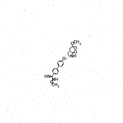 CONC(=N)c1ccc(-c2ccc(OC[C@@H]3C[C@@H](CC(=O)OC)C(=O)N3)cc2)cc1